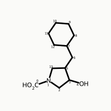 O=C(O)N1CC(O)C(CC2CCCCC2)C1